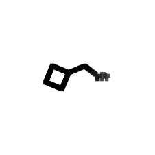 C[CH]CCC1CCC1